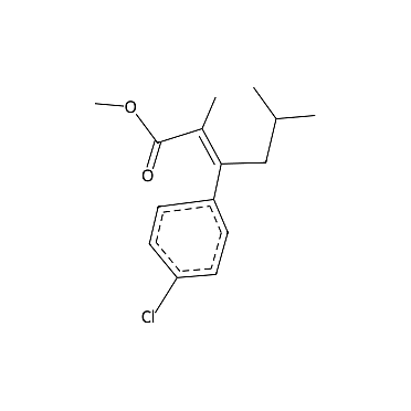 COC(=O)/C(C)=C(/CC(C)C)c1ccc(Cl)cc1